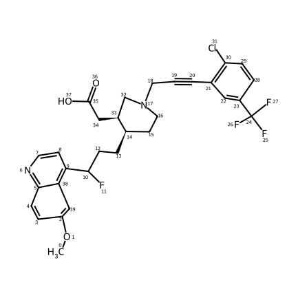 COc1ccc2nccc(C(F)CC[C@@H]3CCN(CC#Cc4cc(C(F)(F)F)ccc4Cl)C[C@@H]3CC(=O)O)c2c1